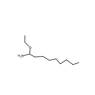 CCCCCCCCC(N)OCC